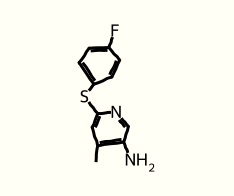 Cc1cc(Sc2ccc(F)cc2)ncc1N